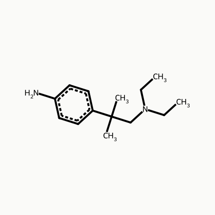 CCN(CC)CC(C)(C)c1ccc(N)cc1